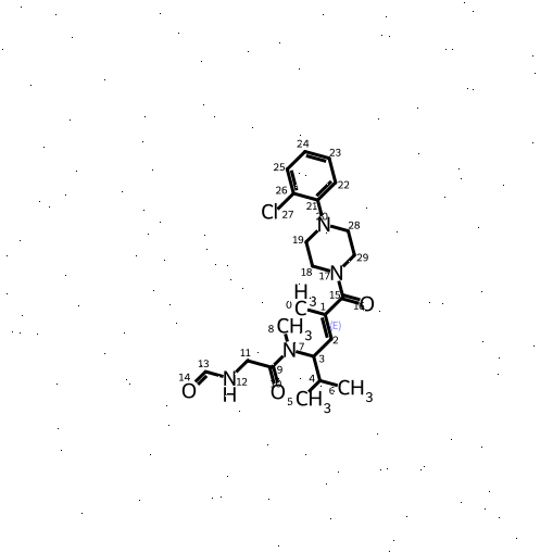 C/C(=C\C(C(C)C)N(C)C(=O)CNC=O)C(=O)N1CCN(c2ccccc2Cl)CC1